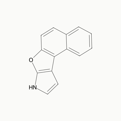 c1ccc2c(c1)ccc1oc3[nH]ccc3c12